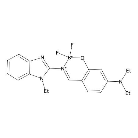 CCN(CC)c1ccc2c(c1)O[B-](F)(F)[N+](c1nc3ccccc3n1CC)=C2